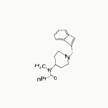 CCCC(=O)N(C)C1CCN(CC2=Cc3ccccc32)CC1